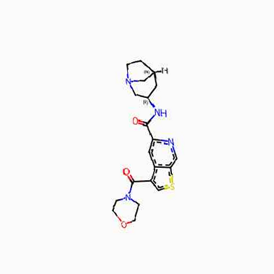 O=C(N[C@@H]1C[C@H]2CCN(C2)C1)c1cc2c(C(=O)N3CCOCC3)csc2cn1